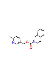 Cc1ccc(COC(=O)N2C=Cc3ccccc3C2)c(C)n1